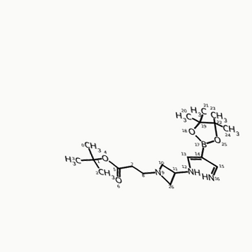 CC(C)(C)OC(=O)CCN1CC(N/C=C(\C=N)B2OC(C)(C)C(C)(C)O2)C1